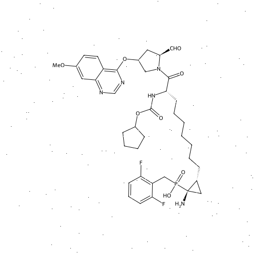 COc1ccc2c(OC3C[C@@H](C=O)N(C(=O)[C@H](CCCCCCC[C@@H]4C[C@]4(N)P(=O)(O)Cc4c(F)cccc4F)NC(=O)OC4CCCC4)C3)ncnc2c1